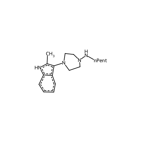 CCCCCNN1CCN(c2c(C)[nH]c3ccccc23)CC1